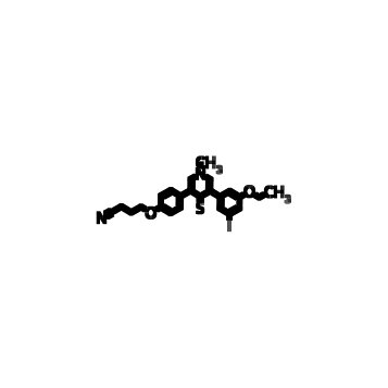 CCOc1cc(I)cc(-c2cn(C)cc(-c3ccc(OCCCC#N)cc3)c2=S)c1